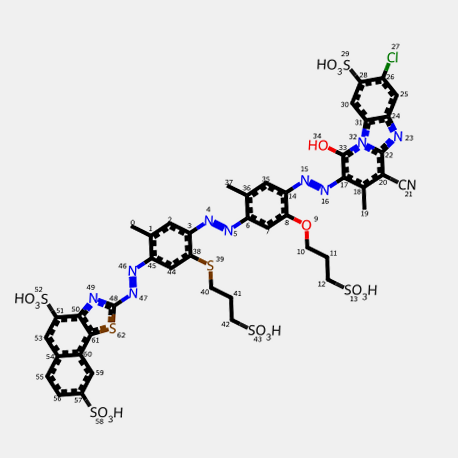 Cc1cc(N=Nc2cc(OCCCS(=O)(=O)O)c(N=Nc3c(C)c(C#N)c4nc5cc(Cl)c(S(=O)(=O)O)cc5n4c3O)cc2C)c(SCCCS(=O)(=O)O)cc1N=Nc1nc2c(S(=O)(=O)O)cc3ccc(S(=O)(=O)O)cc3c2s1